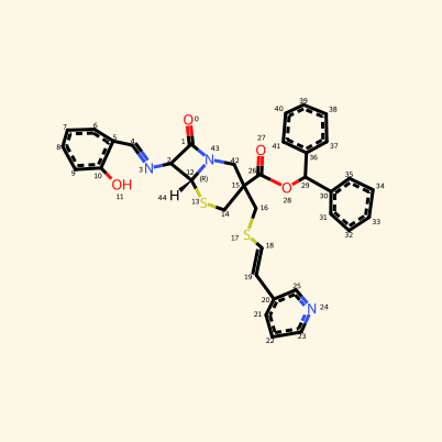 O=C1C(N=Cc2ccccc2O)[C@H]2SCC(CSC=Cc3cccnc3)(C(=O)OC(c3ccccc3)c3ccccc3)CN12